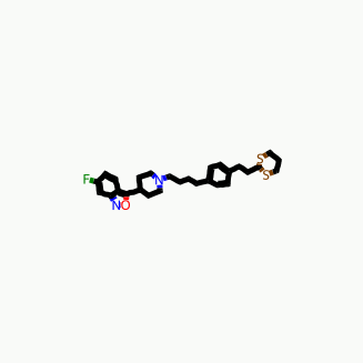 Fc1ccc2c(C3CCN(CCCCc4ccc(CCC5SCCCS5)cc4)CC3)onc2c1